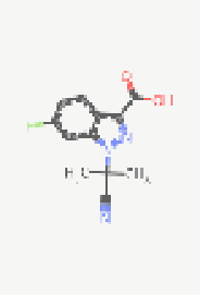 CC(C)(C#N)n1nc(C(=O)O)c2ccc(F)cc21